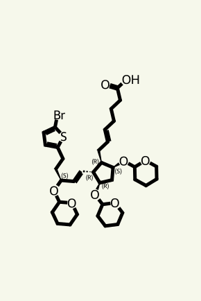 O=C(O)CCCC=CC[C@@H]1[C@@H](C=C[C@H](CCc2ccc(Br)s2)OC2CCCCO2)[C@H](OC2CCCCO2)C[C@@H]1OC1CCCCO1